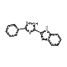 c1ccc(-c2n[nH]c(-c3nc4ccccc4[nH]3)n2)cc1